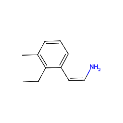 CCc1c(C)cccc1/C=C\N